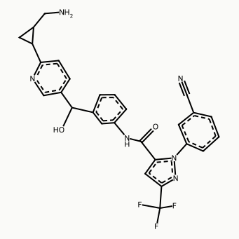 N#Cc1cccc(-n2nc(C(F)(F)F)cc2C(=O)Nc2cccc(C(O)c3ccc(C4CC4CN)nc3)c2)c1